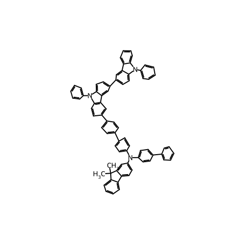 CC1(C)c2ccccc2-c2ccc(N(c3ccc(-c4ccccc4)cc3)c3ccc(-c4ccc(-c5ccc6c(c5)c5cc(-c7ccc8c(c7)c7ccccc7n8-c7ccccc7)ccc5n6-c5ccccc5)cc4)cc3)cc21